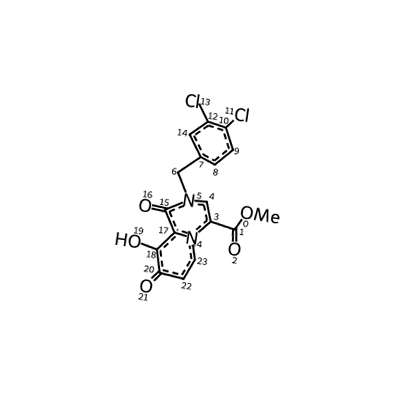 COC(=O)c1cn(Cc2ccc(Cl)c(Cl)c2)c(=O)c2c(O)c(=O)ccn12